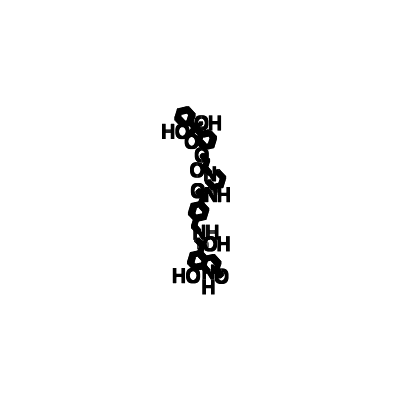 O=C(N[C@@H]1CCCN(C(=O)COc2cccc([C@](O)(C(=O)O)c3ccccc3)c2)C1)c1ccc(CNC[C@H](O)c2ccc(O)c3[nH]c(=O)ccc23)cc1